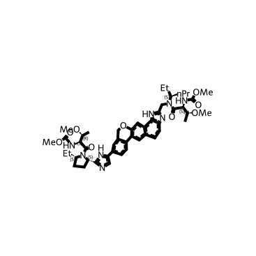 CCC[C@H](CC)N(Cc1nc2ccc3cc4c(cc3c2[nH]1)OCc1cc(-c2cnc([C@@H]3CC[C@H](CC)N3C(=O)[C@@H](NC(=O)OC)[C@@H](C)OC)[nH]2)ccc1-4)C(=O)[C@@H](NC(=O)OC)[C@@H](C)OC